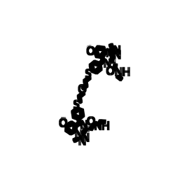 CCNC(=O)C[C@@H]1N=C(c2ccc(SCCCOCCCSc3ccc(C4=N[C@@H](CC(=O)NCC)c5nnc(C)n5-c5ccc(OC)cc54)cc3)cc2)c2cc(OC)ccc2-n2c(C)nnc21